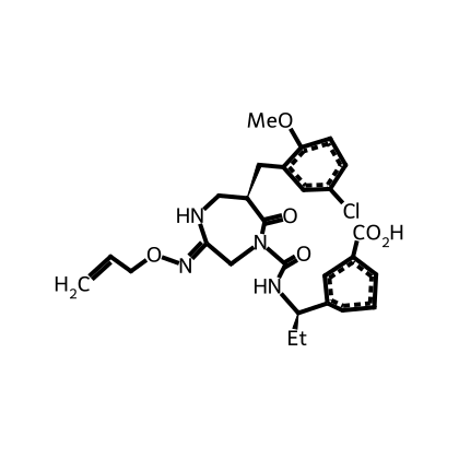 C=CCO/N=C1/CN(C(=O)N[C@H](CC)c2cccc(C(=O)O)c2)C(=O)[C@H](Cc2cc(Cl)ccc2OC)CN1